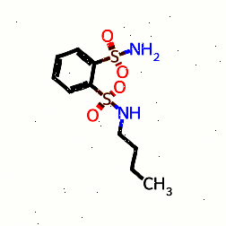 CCCCNS(=O)(=O)c1ccccc1S(N)(=O)=O